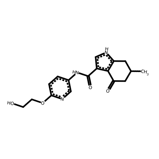 CC1CC(=O)c2c(C(=O)Nc3ccc(OCCO)nc3)c[nH]c2C1